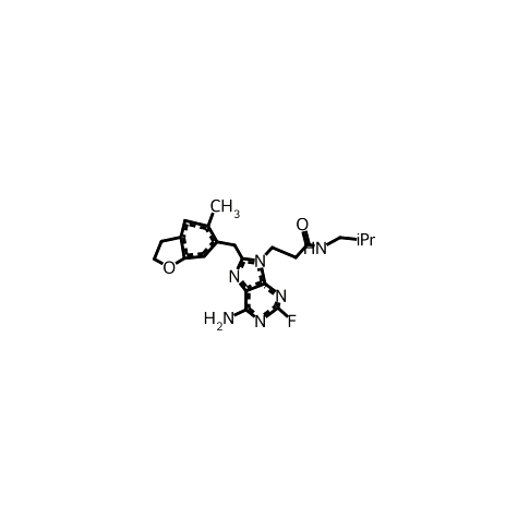 Cc1cc2c(cc1Cc1nc3c(N)nc(F)nc3n1CCC(=O)NCC(C)C)OCC2